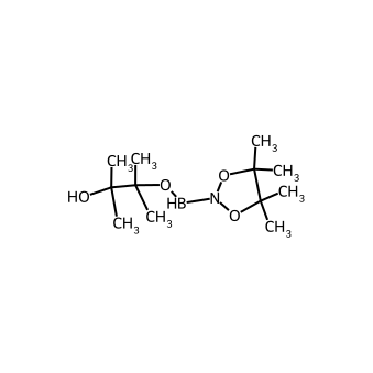 CC(C)(O)C(C)(C)OBN1OC(C)(C)C(C)(C)O1